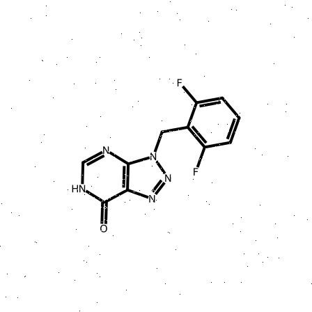 O=c1[nH]cnc2c1nnn2Cc1c(F)cccc1F